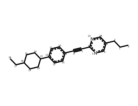 CCCc1cnc(C#Cc2ccc(C3CCC(CC)CC3)cc2)nc1